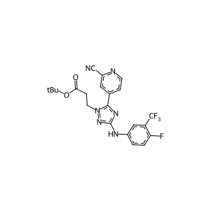 CC(C)(C)OC(=O)CCn1nc(Nc2ccc(F)c(C(F)(F)F)c2)nc1-c1ccnc(C#N)c1